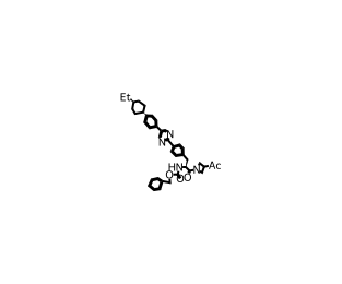 CC[C@H]1CC[C@H](c2ccc(-c3cnc(-c4ccc(C[C@H](NC(=O)OCc5ccccc5)C(=O)N5CC(C(C)=O)C5)cc4)nc3)cc2)CC1